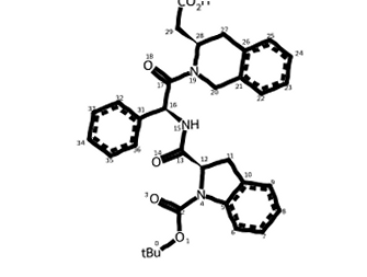 CC(C)(C)OC(=O)N1c2ccccc2C[C@@H]1C(=O)N[C@H](C(=O)N1Cc2ccccc2C[C@@H]1CC(=O)O)c1ccccc1